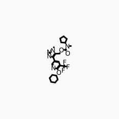 CN(C(=O)OCc1c(-c2cnc(OC3CCCCC3)c(C(F)(F)F)c2)nnn1C)C1CCCC1